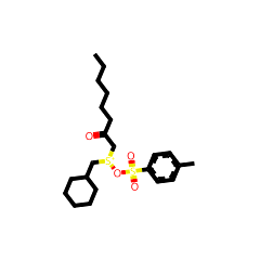 CCCCCCC(=O)C[S+](CC1CCCCC1)OS(=O)(=O)c1ccc(C)cc1